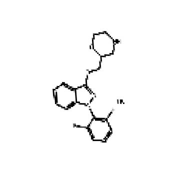 Cl.Fc1cccc(F)c1-n1nc(OCC2CNCCO2)c2ccccc21